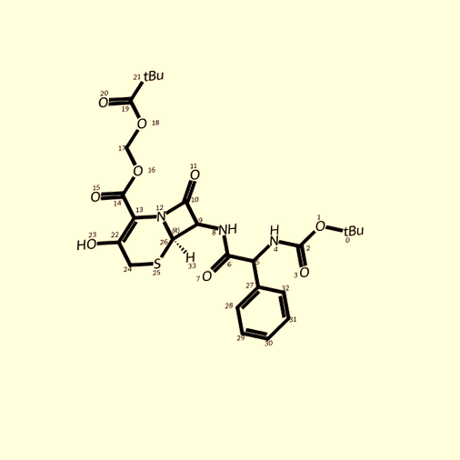 CC(C)(C)OC(=O)NC(C(=O)NC1C(=O)N2C(C(=O)OCOC(=O)C(C)(C)C)=C(O)CS[C@H]12)c1ccccc1